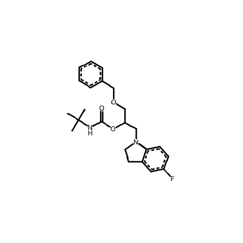 CC(C)(C)NC(=O)OC(COCc1ccccc1)CN1CCc2cc(F)ccc21